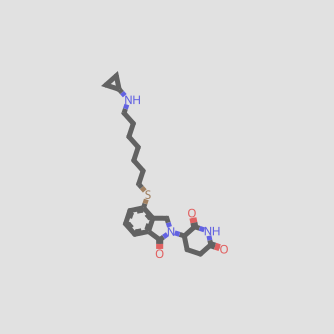 O=C1CCC(N2Cc3c(SCCCCCCCNC4CC4)cccc3C2=O)C(=O)N1